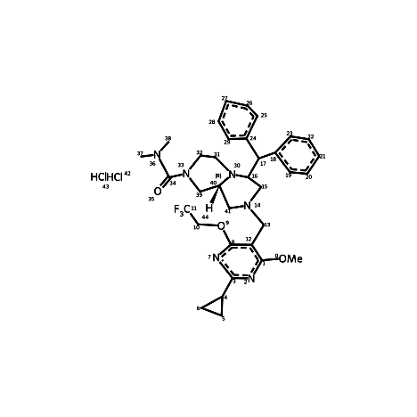 COc1nc(C2CC2)nc(OCC(F)(F)F)c1CN1CC(C(c2ccccc2)c2ccccc2)N2CCN(C(=O)N(C)C)C[C@H]2C1.Cl.Cl